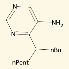 CCCCCC(CCCC)c1ncncc1N